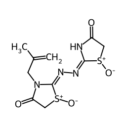 C=C(C)CN1C(=O)C[S+]([O-])C1=NN=C1NC(=O)C[S+]1[O-]